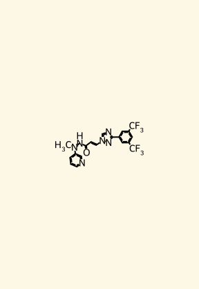 CN(NC(=O)C=Cn1cnc(-c2cc(C(F)(F)F)cc(C(F)(F)F)c2)n1)c1cccnc1